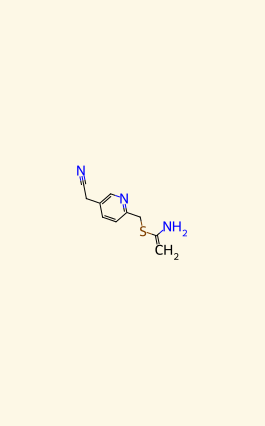 C=C(N)SCc1ccc(CC#N)cn1